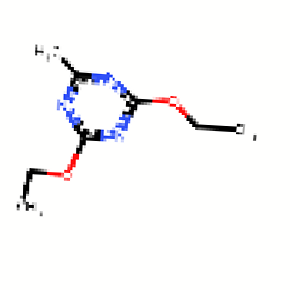 CCOc1nc(C)nc(OCC)n1